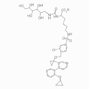 O=C(NCC(O)C(O)C(O)C(O)CO)NC(CCCCNS(=O)(=O)c1ccc(COC2(c3cnccc3-c3ccccc3OC3CC3)CC2)c(Cl)c1)C(=O)O